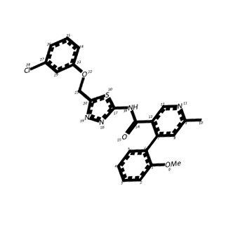 COc1ccccc1-c1cc(C)ncc1C(=O)Nc1nnc(COc2cccc(Cl)c2)s1